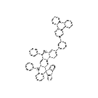 C1=C2C(=CC3C1N(c1ccccc1)c1ccccc1C31c3ccccc3-c3ccccc31)C1CC=C(c3cccc(-c4ccc5c6ccccc6c6ccccc6c5c4)c3)C=C1N=C2c1ccccc1